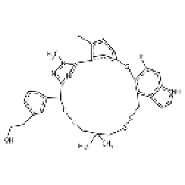 Cn1nc2nc1-c1cc(ccc1F)Sc1c(F)cc3[nH]ccc3c1CCSCC(C)(C)CCCC2c1cccc(CCO)c1